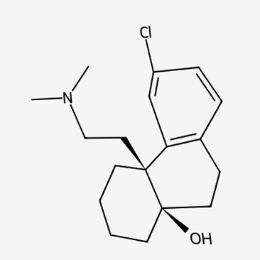 CN(C)CC[C@]12CCCC[C@@]1(O)CCc1ccc(Cl)cc12